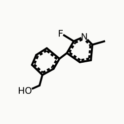 Cc1ccc(-c2cccc(CO)c2)c(F)n1